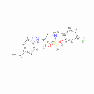 CCc1ccc(NC(=O)CN(Cc2ccc(Cl)cc2)S(C)(=O)=O)cc1